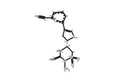 CN1C(=N)N[C@H](C2CC(c3cccc(C#N)c3)=CS2)CS1(=O)=O